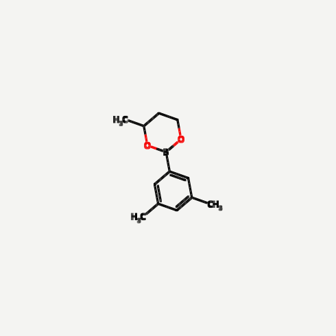 Cc1cc(C)cc(B2OCCC(C)O2)c1